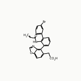 C=CC(=O)Nc1c(-c2cccc(Br)c2)cccc1-c1c(CC(=O)O)ccc2ocnc12